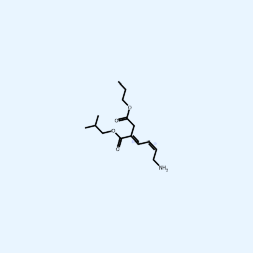 CCCOC(=O)C/C(=C\C=C/CN)C(=O)OCC(C)C